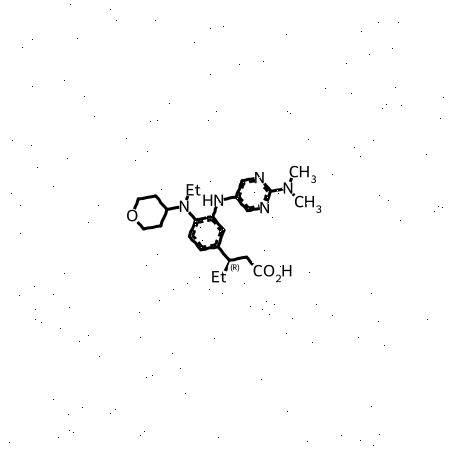 CC[C@H](CC(=O)O)c1ccc(N(CC)C2CCOCC2)c(Nc2cnc(N(C)C)nc2)c1